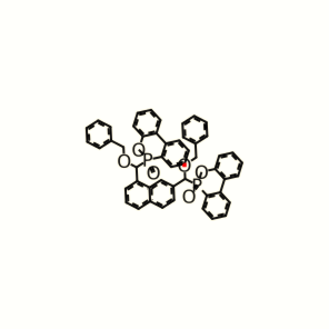 O=P1(C(OCc2ccccc2)c2ccc3cccc(C(OCc4ccccc4)P4(=O)Oc5ccccc5-c5ccccc54)c3c2)Oc2ccccc2-c2ccccc21